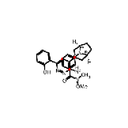 CON(C)C(=O)c1cccc(N2[C@@H]3CC[C@H]2CN(c2cc(-c4ccccc4O)nnc2N)C3)c1